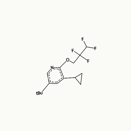 CC(C)(C)c1cnc(OCC(F)(F)C(F)F)c(C2CC2)c1